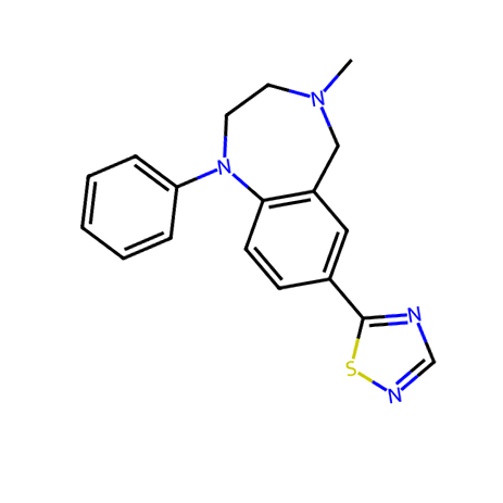 CN1CCN(c2ccccc2)c2ccc(-c3ncns3)cc2C1